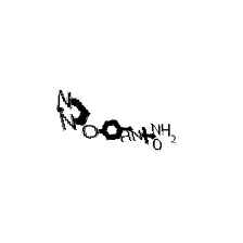 CC(C)(NCc1ccc(Oc2ccncn2)cc1)C(N)=O